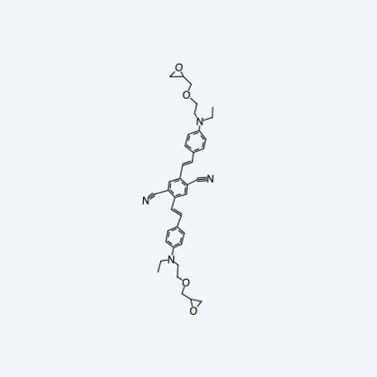 CCN(CCOCC1CO1)c1ccc(C=Cc2cc(C#N)c(C=Cc3ccc(N(CC)CCOCC4CO4)cc3)cc2C#N)cc1